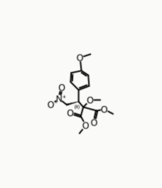 COC(=O)C(OC)(C(=O)OC)[C@@H](C[N+](=O)[O-])c1ccc(OC)cc1